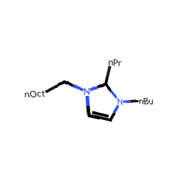 CCCCCCCCCN1C=CN(CCCC)C1CCC